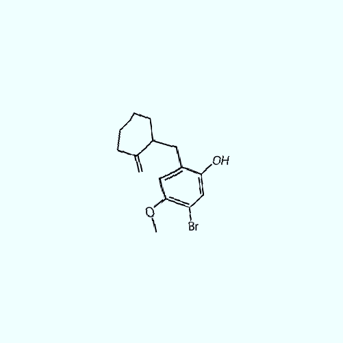 C=C1CCCCC1Cc1cc(OC)c(Br)cc1O